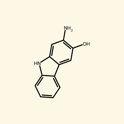 Nc1cc2[nH]c3ccccc3c2cc1O